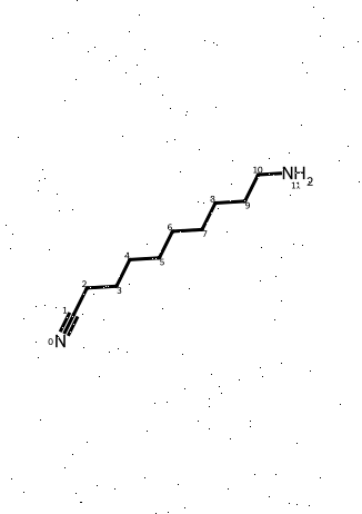 N#CCCCCCCCCCN